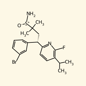 CC(C)c1ccc([C@@H](CC(C)(C)[S+](N)[O-])c2cccc(Br)c2)nc1F